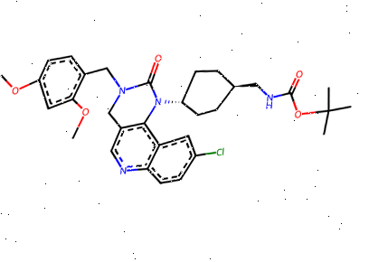 COc1ccc(CN2Cc3cnc4ccc(Cl)cc4c3N([C@H]3CC[C@H](CNC(=O)OC(C)(C)C)CC3)C2=O)c(OC)c1